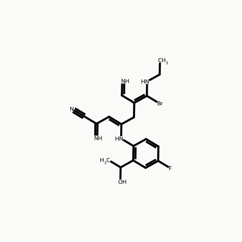 CCN/C(Br)=C(\C=N)C/C(=C/C(=N)C#N)Nc1ccc(F)cc1C(C)O